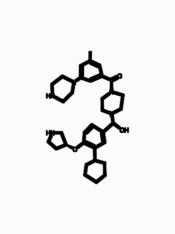 Cc1cc(C(=O)N2CCN(C(O)c3ccc(O[C@H]4CCNC4)c(C4CCCCC4)c3)CC2)cc(N2CCNCC2)c1